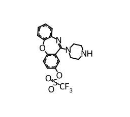 O=S(=O)(Oc1ccc2c(c1)C(N1CCNCC1)=Nc1ccccc1O2)C(F)(F)F